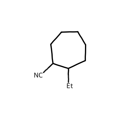 CCC1CCCCCC1C#N